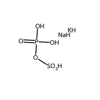 O=P(O)(O)OS(=O)(=O)O.[KH].[NaH]